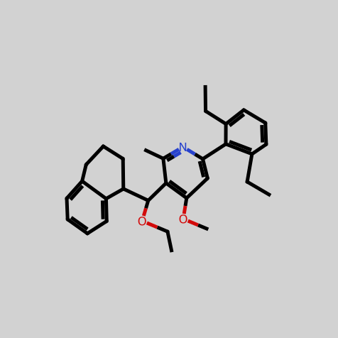 CCOC(c1c(OC)cc(-c2c(CC)cccc2CC)nc1C)C1CCCc2ccccc21